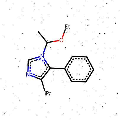 CCOC(C)n1cnc(C(C)C)c1-c1ccccc1